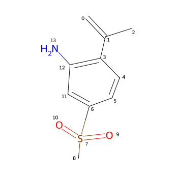 C=C(C)c1ccc(S(C)(=O)=O)cc1N